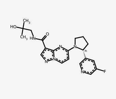 CC(C)(O)CNC(=O)c1cnn2ccc(N3CCC[C@@H]3c3cncc(F)c3)nc12